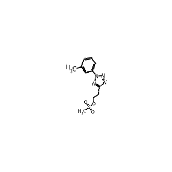 Cc1cccc(-n2nnc(CCOS(C)(=O)=O)n2)c1